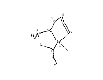 CC(C)[N+]1(C)C=CSC1N